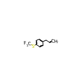 [CH]=CCc1ccc(SC(F)(F)F)cc1